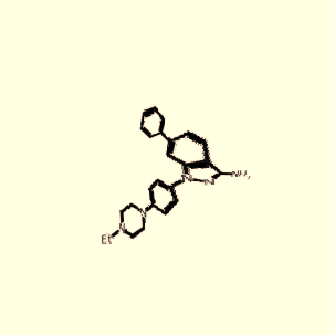 CCN1CCN(c2ccc(-n3nc(N)c4ccc(-c5ccccc5)cc43)cc2)CC1